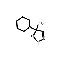 CCOC(=O)C1(N2CCCCC2)C=NNN1